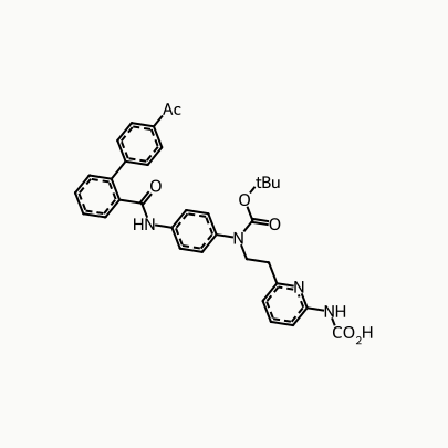 CC(=O)c1ccc(-c2ccccc2C(=O)Nc2ccc(N(CCc3cccc(NC(=O)O)n3)C(=O)OC(C)(C)C)cc2)cc1